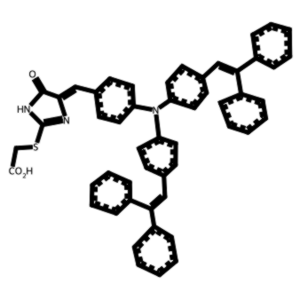 O=C(O)CSC1=N/C(=C\c2ccc(N(c3ccc(C=C(c4ccccc4)c4ccccc4)cc3)c3ccc(C=C(c4ccccc4)c4ccccc4)cc3)cc2)C(=O)N1